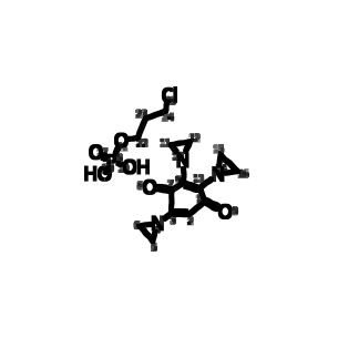 O=C1C=C(N2CC2)C(=O)C(N2CC2)=C1N1CC1.O=P(O)(O)OCCCCl